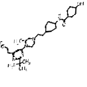 COCCc1cc(N2CCN(CCC3CCC(NC(=O)C4CCC(O)CC4)CC3)C[C@@H]2C)nc(C(C)(C)C)n1